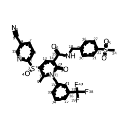 Cc1c([S+]([O-])c2ccc(C#N)cn2)cc(C(=O)NCc2ccc(S(C)(=O)=O)cc2)c(=O)n1-c1cccc(C(F)(F)F)c1